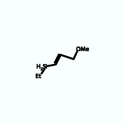 CC[SiH2]C=CCOC